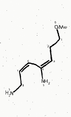 COCC/C=C(N)\C=C/CN